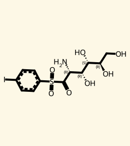 N[C@@H](C(=O)S(=O)(=O)c1ccc(I)cc1)[C@@H](O)[C@H](O)[C@H](O)CO